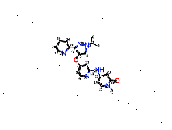 CC(C)n1cc(Oc2ccnc(Nc3ccn(C)c(=O)c3)c2)c(-c2ccccn2)n1